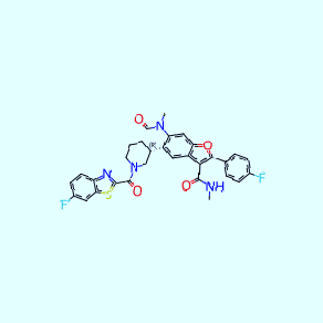 CNC(=O)c1c(-c2ccc(F)cc2)oc2cc(N(C)C=O)c([C@H]3CCCN(C(=O)c4nc5ccc(F)cc5s4)C3)cc12